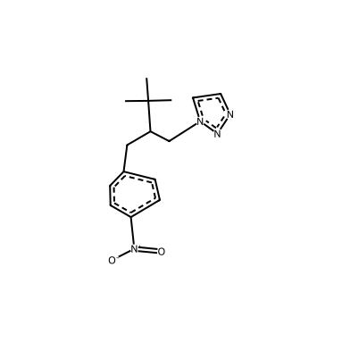 CC(C)(C)C(Cc1ccc([N+](=O)[O-])cc1)Cn1ccnn1